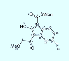 CCCCCCCCCC(=O)n1c(O)c(C(=O)COC)c2cc(F)ccc21